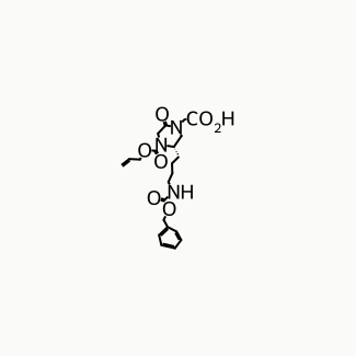 C=CCOC(=O)N1CC(=O)N(CC(=O)O)C[C@@H]1CCCCNC(=O)OCc1ccccc1